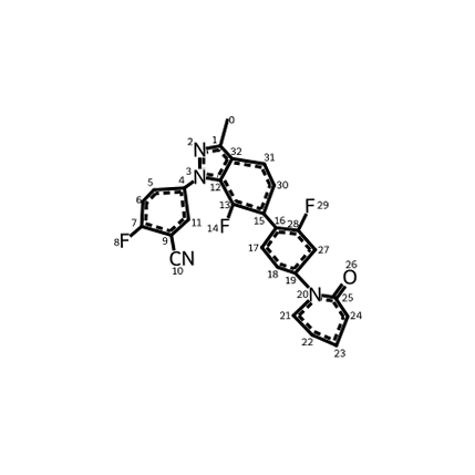 Cc1nn(-c2ccc(F)c(C#N)c2)c2c(F)c(-c3ccc(-n4ccccc4=O)cc3F)ccc12